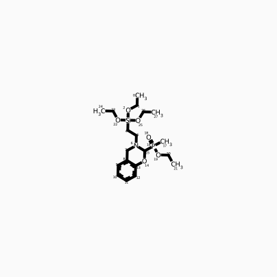 CCO[Si](CCN1Cc2ccccc2OC1P(C)(=O)OCC)(OCC)OCC